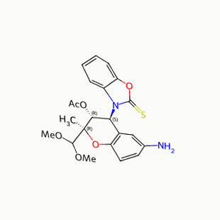 COC(OC)[C@]1(C)Oc2ccc(N)cc2[C@H](n2c(=S)oc3ccccc32)[C@H]1OC(C)=O